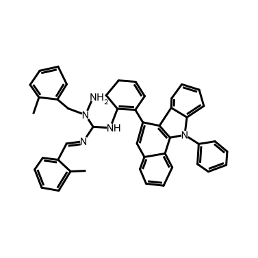 Cc1ccccc1/C=N/C(NC1=C(c2cc3ccccc3c3c2c2ccccc2n3-c2ccccc2)C=CCC1)N(N)Cc1ccccc1C